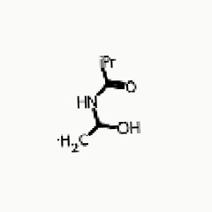 [CH2]C(O)NC(=O)C(C)C